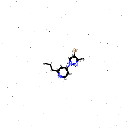 CCCc1cc(-n2cc(Br)c(C)n2)ccn1